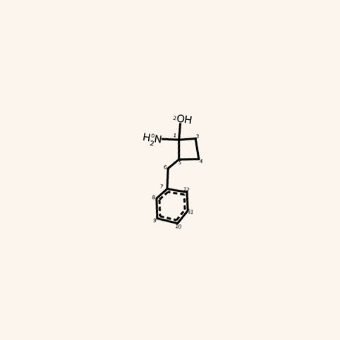 NC1(O)CCC1Cc1ccccc1